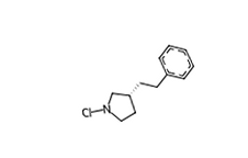 ClN1CC[C@@H](CCc2ccccc2)C1